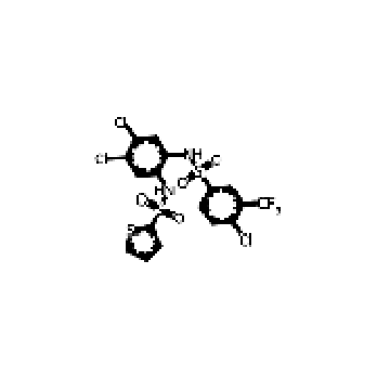 O=S(=O)(Nc1cc(Cl)c(Cl)cc1NS(=O)(=O)c1cccs1)c1ccc(Cl)c(C(F)(F)F)c1